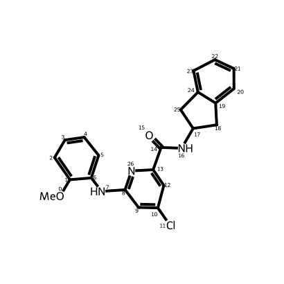 COc1ccccc1Nc1cc(Cl)cc(C(=O)NC2Cc3ccccc3C2)n1